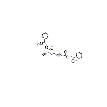 N#CC(CC/C=C/CC(=O)OCC(O)c1ccccc1)C(=O)OCC(O)c1ccccc1